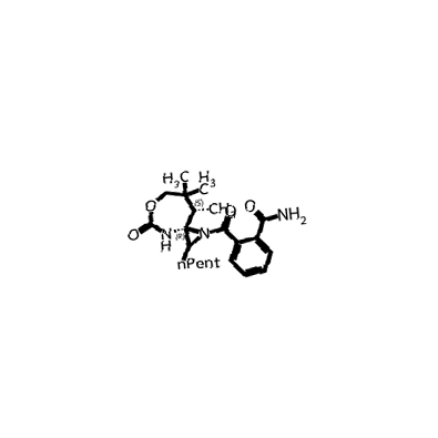 CCCCCC1N(C(=O)c2ccccc2C(N)=O)[C@@]12NC(=O)OCC(C)(C)[C@@H]2C